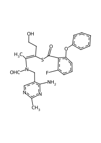 C/C(=C(\CCO)SC(=O)c1c(F)cccc1Oc1ccccc1)N(C=O)Cc1cnc(C)nc1N